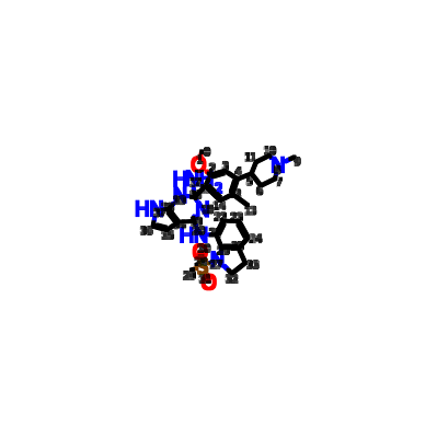 COc1cc(C2CCN(C)CC2)c(C)cc1C1(N)N=C(Nc2cccc3c2N(S(C)(=O)=O)CC3)c2cc[nH]c2N1